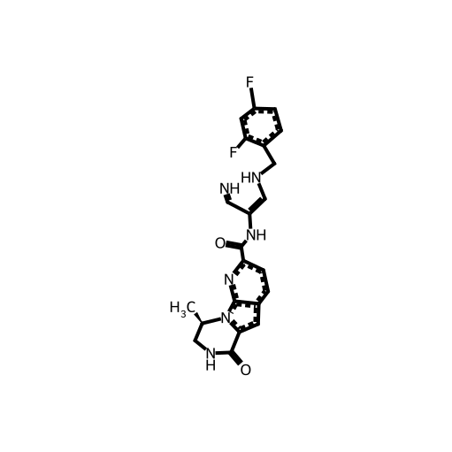 C[C@@H]1CNC(=O)c2cc3ccc(C(=O)N/C(C=N)=C/NCc4ccc(F)cc4F)nc3n21